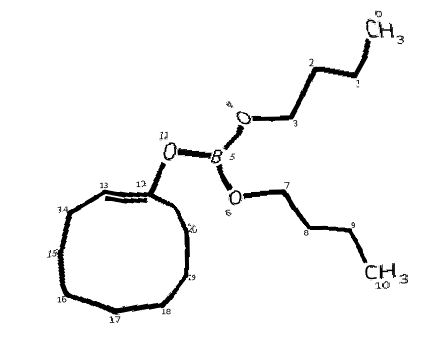 CCCCOB(OCCCC)OC1=CCCCCCCC1